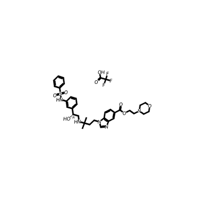 CC(C)(CCn1cnc2cc(C(=O)OCCN3CCOCC3)ccc21)NC[C@H](O)c1cccc(NS(=O)(=O)c2ccccc2)c1.O=C(O)C(F)(F)F